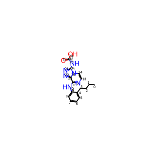 CCCCc1ccccc1Nc1nccn2c(NC(=O)O)nnc12